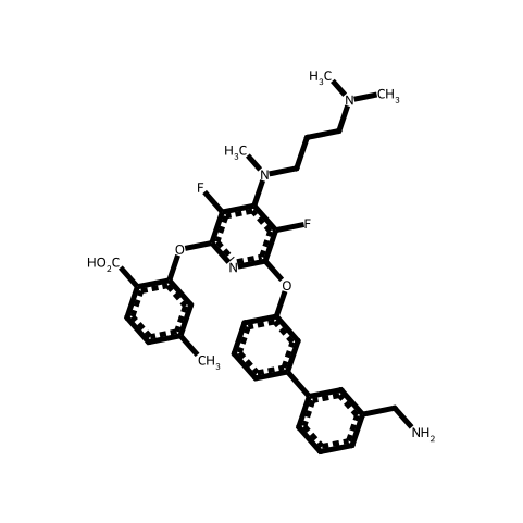 Cc1ccc(C(=O)O)c(Oc2nc(Oc3cccc(-c4cccc(CN)c4)c3)c(F)c(N(C)CCCN(C)C)c2F)c1